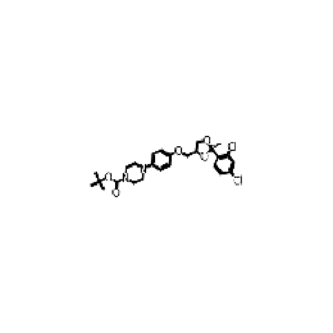 CC(C)(C)OC(=O)N1CCN(c2ccc(OCC3CO[C@](C)(c4ccc(Cl)cc4Cl)O3)cc2)CC1